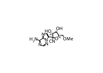 COC[C@H]1O[C@@](C#N)(c2cnc3c(N)ncnn23)[C@H](O)[C@@H]1O